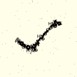 CC(C)(C)[C@H](NC(=O)COCCOCCOCCNC(=O)CCCn1cnc(-c2cnc(OC3CCN(C(=O)Cc4ccc(OC(F)(F)F)cc4)CC3)c(C(N)=O)c2)c1)C(=O)N1CCCC1